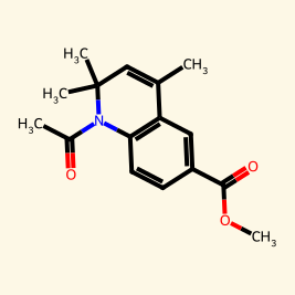 COC(=O)c1ccc2c(c1)C(C)=CC(C)(C)N2C(C)=O